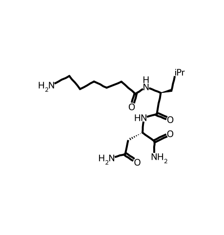 CC(C)C[C@H](NC(=O)CCCCCN)C(=O)N[C@@H](CC(N)=O)C(N)=O